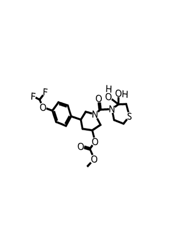 COC(=O)OC1CC(c2ccc(OC(F)F)cc2)CN(C(=O)N2CCSCC2(O)O)C1